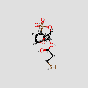 O=C(CCS)Oc1c2c3oc1cc3S(=O)(=O)O2